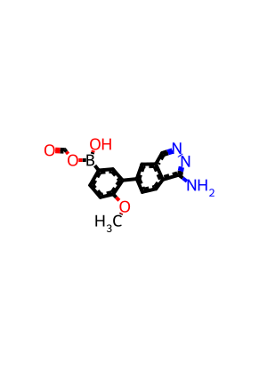 COc1ccc(B(O)OC=O)cc1-c1ccc2c(N)nncc2c1